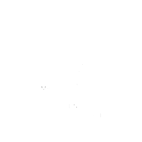 COC1CC2(c3ccccc3)CCC1(NC(=O)O)CC2